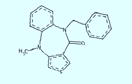 CN1c2cscc2C(=O)N(Cc2ccccc2)c2ccccc21